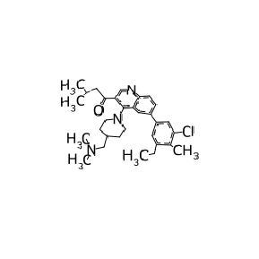 CCc1cc(-c2ccc3ncc(C(=O)CC(C)C)c(N4CCC(CN(C)C)CC4)c3c2)cc(Cl)c1C